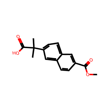 COC(=O)c1ccc2cc(C(C)(C)C(=O)O)ccc2c1